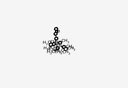 Cc1cc2c3c(c1)N(c1ccc(-c4ccc5c(c4)oc4ccccc45)cc1)c1cc4c(cc1B3c1cc(C(C)(C)C)ccc1N2c1ccc2c(c1)C(C)(C)CCC2(C)C)C(C)(C)CCC4(C)C